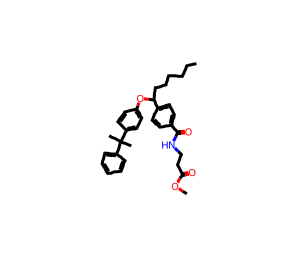 CCCCCCC(Oc1ccc(C(C)(C)c2ccccc2)cc1)c1ccc(C(=O)NCCC(=O)OC)cc1